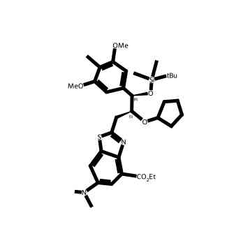 CCOC(=O)c1cc(N(C)C)cc2sc(C[C@H](OC3CCCC3)[C@H](O[Si](C)(C)C(C)(C)C)c3cc(OC)c(C)c(OC)c3)nc12